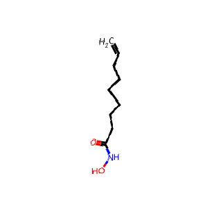 C=CCCCCCCC(=O)NO